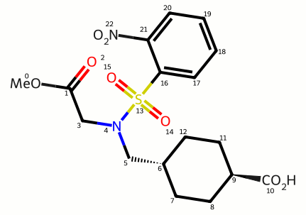 COC(=O)CN(C[C@H]1CC[C@H](C(=O)O)CC1)S(=O)(=O)c1ccccc1[N+](=O)[O-]